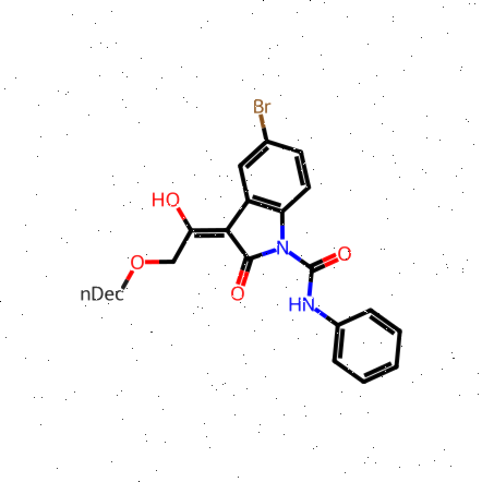 CCCCCCCCCCOCC(O)=C1C(=O)N(C(=O)Nc2ccccc2)c2ccc(Br)cc21